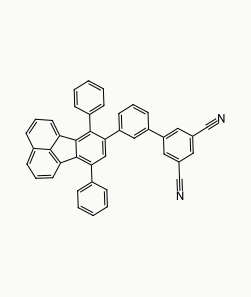 N#Cc1cc(C#N)cc(-c2cccc(-c3cc(-c4ccccc4)c4c(c3-c3ccccc3)-c3cccc5cccc-4c35)c2)c1